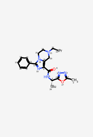 Cc1nnc([C@@H](NC(=O)c2nc(-c3ccccc3)n3c2CN(CC(C)C)CC3)C(C)(C)C)o1